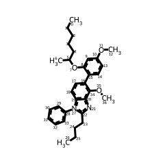 CCCCCC(C)Oc1cc(OC)ccc1-c1ccc2c(nc(CCCC)n2-c2ccccc2)c1OC